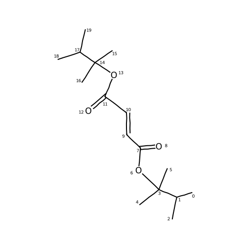 CC(C)C(C)(C)OC(=O)/C=C/C(=O)OC(C)(C)C(C)C